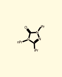 CCCn1c(C(C)C)nn(C(C)C)c1=O